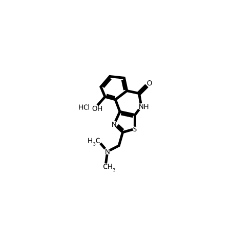 CN(C)Cc1nc2c([nH]c(=O)c3cccc(O)c32)s1.Cl